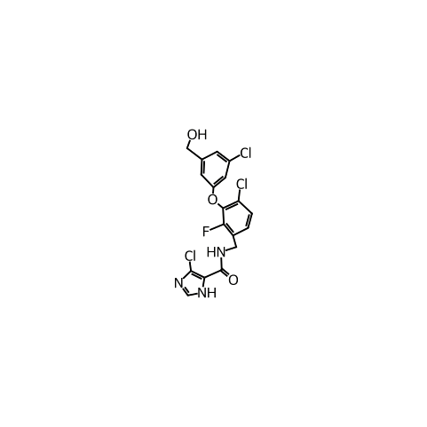 O=C(NCc1ccc(Cl)c(Oc2cc(Cl)cc(CO)c2)c1F)c1[nH]cnc1Cl